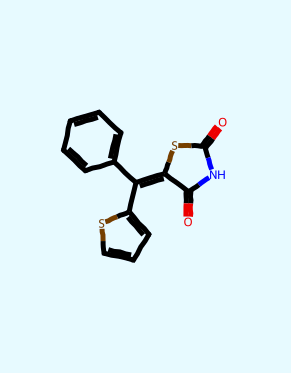 O=C1NC(=O)/C(=C(/c2ccccc2)c2cccs2)S1